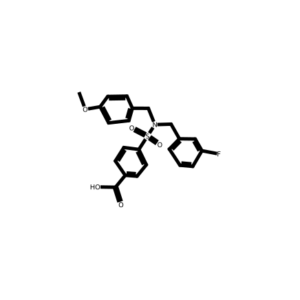 COc1ccc(CN(Cc2cccc(F)c2)S(=O)(=O)c2ccc(C(=O)O)cc2)cc1